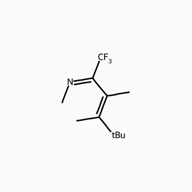 C/N=C(\C(C)=C(/C)C(C)(C)C)C(F)(F)F